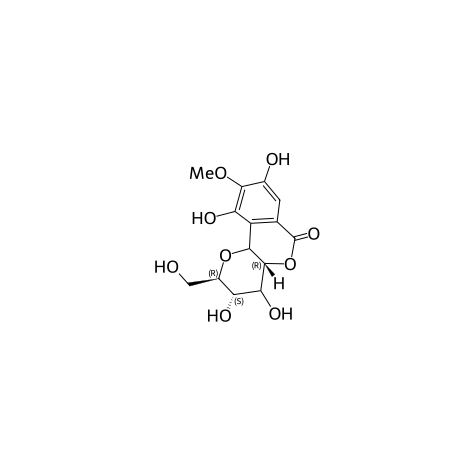 COc1c(O)cc2c(c1O)C1O[C@H](CO)[C@@H](O)C(O)[C@H]1OC2=O